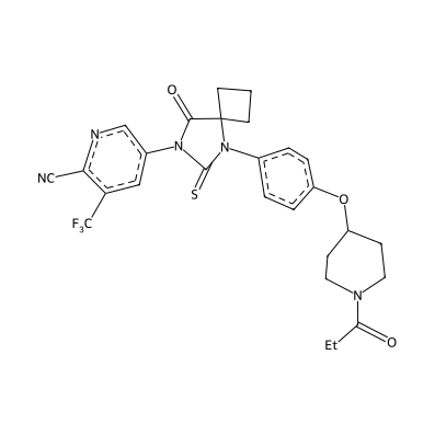 CCC(=O)N1CCC(Oc2ccc(N3C(=S)N(c4cnc(C#N)c(C(F)(F)F)c4)C(=O)C34CCC4)cc2)CC1